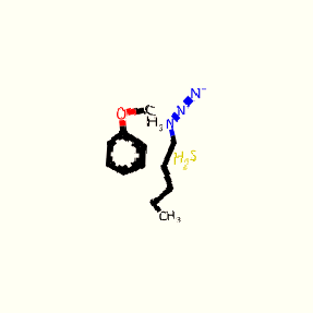 CCCCCN=[N+]=[N-].COc1ccccc1.S